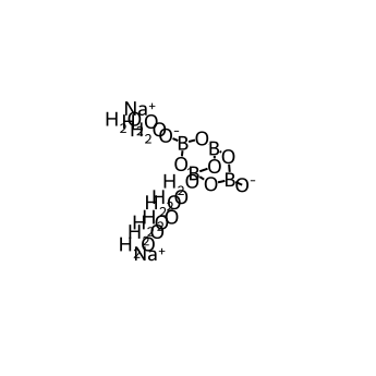 O.O.O.O.O.O.O.O.O.O.[Na+].[Na+].[O-]B1OB2OB([O-])OB(O1)O2